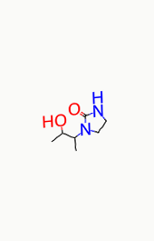 CC(O)C(C)N1CCNC1=O